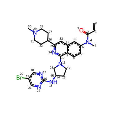 C=CC(=O)N(C)c1ccc2c(N3CC[C@@H](Nc4ncc(Br)cn4)C3)nc(C3CCN(C)CC3)cc2c1